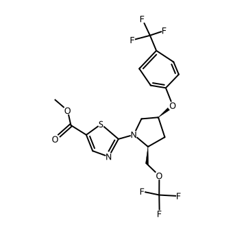 COC(=O)c1cnc(N2C[C@@H](Oc3ccc(C(F)(F)F)cc3)C[C@H]2COC(F)(F)F)s1